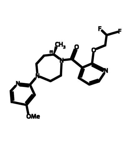 COc1ccnc(N2CC[C@@H](C)N(C(=O)c3cccnc3OCC(F)F)CC2)c1